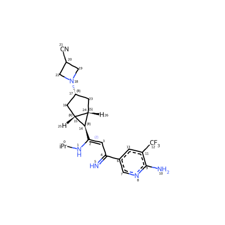 CC(C)N/C(=C\C(=N)c1cnc(N)c(C(F)(F)F)c1)[C@H]1[C@@H]2C[C@H](N3CC(C#N)C3)C[C@@H]21